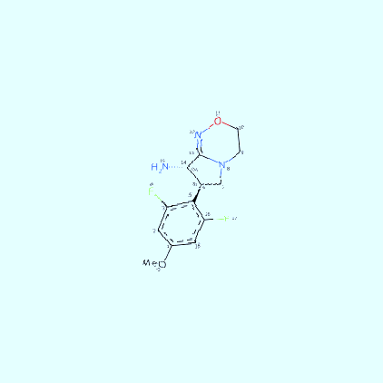 COc1cc(F)c([C@@H]2CN3CCON=C3[C@H]2N)c(F)c1